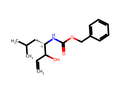 C=CC(O)[C@H](CC(C)C)NC(=O)OCc1ccccc1